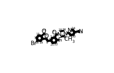 CC1CN(C(=O)c2cc(C=C3OC(=O)c4ccc(Br)cc43)ccc2F)CCN1c1ccc(C#N)cn1